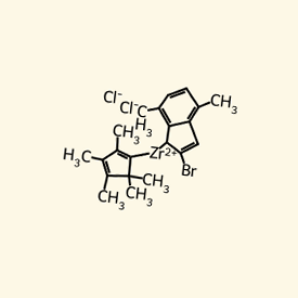 CC1=C(C)C(C)(C)[C]([Zr+2][CH]2C(Br)=Cc3c(C)ccc(C)c32)=C1C.[Cl-].[Cl-]